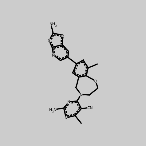 Cc1cc(-c2cnc3sc(N)nc3c2)cc2c1OCCN(c1nc(N)nc(C)c1C#N)C2